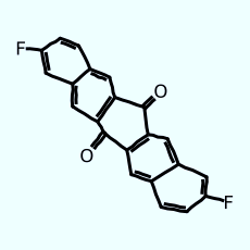 O=C1c2cc3ccc(F)cc3cc2C(=O)c2cc3ccc(F)cc3cc21